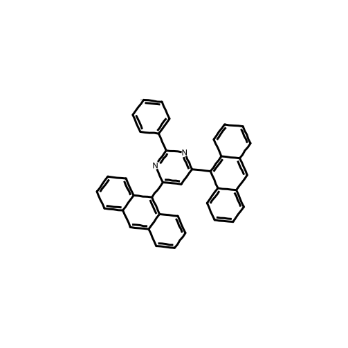 [c]1ccc(-c2nc(-c3c4ccccc4cc4ccccc34)cc(-c3c4ccccc4cc4ccccc34)n2)cc1